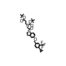 CC(C)(C)OC(=O)CCN(CC(=O)N1CCc2cc(OCc3ccc(C4CC4)c(C(F)(F)F)c3)ccc21)C(=O)OC(C)(C)C